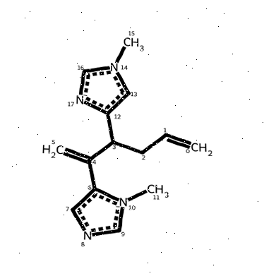 C=CC[C](C(=C)c1cncn1C)c1cn(C)cn1